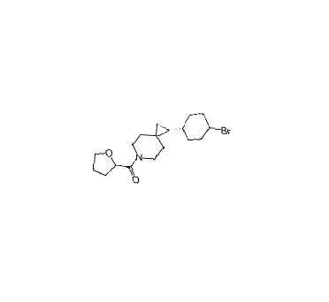 O=C([C@H]1CCCO1)N1CCC2(CC1)C[C@@H]2C1CCC(Br)CC1